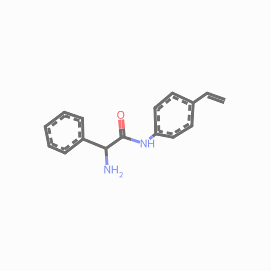 C=Cc1ccc(NC(=O)C(N)c2ccccc2)cc1